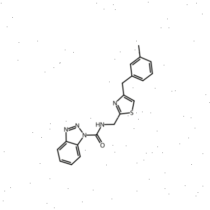 Cc1cccc(Cc2csc(CNC(=O)n3nnc4ccccc43)n2)c1